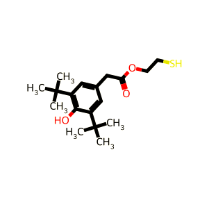 CC(C)(C)c1cc(CC(=O)OCCS)cc(C(C)(C)C)c1O